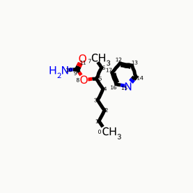 CCCCCC(CC)OC(N)=O.c1ccncc1